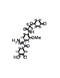 COc1cc(/C(=N\N)C(=O)c2ccc(O)c(Cl)c2)ccc1NC(=O)C(C)(C)Oc1ccc(Cl)cc1